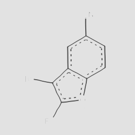 CCc1oc2ccc(C#N)cc2c1Br